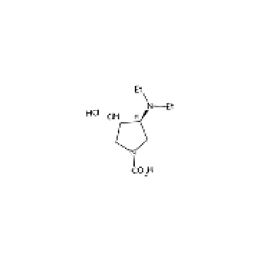 CCN(CC)[C@@H]1CCN(C(=O)O)C1.Cl.Cl